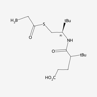 BCC(=O)SC[C@H](NC(=O)C(CCC(=O)O)C(C)(C)C)C(C)(C)C